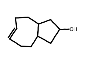 OC1CC2CC/C=C/CCC2C1